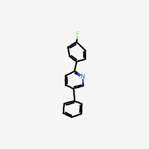 Fc1ccc(-c2ccc(-c3ccccc3)cn2)cc1